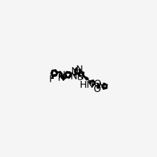 O=C(O[C@H]1CN[C@@H](C#Cc2cc3ncnc(Nc4ccc5c(cnn5Cc5cccc(F)c5)c4)c3s2)C1)N1CCCC1